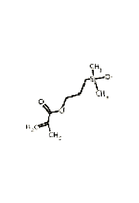 C=C(C)C(=O)OCCC[Si](C)(C)[O]